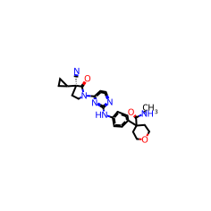 CNC(=O)C1(c2ccc(Nc3nccc(N4CC[C@@](C#N)(C5CC5)C4=O)n3)cc2)CCOCC1